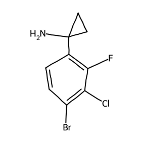 NC1(c2ccc(Br)c(Cl)c2F)CC1